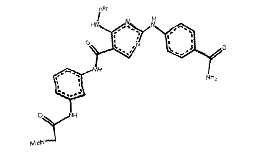 CCCNc1nc(Nc2ccc(C(N)=O)cc2)ncc1C(=O)Nc1cccc(NC(=O)CNC)c1